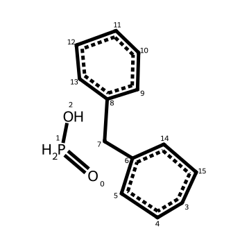 O=[PH2]O.c1ccc(Cc2ccccc2)cc1